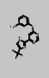 Nc1cccc(Oc2cc(-c3nc(C(F)(F)F)c[nH]3)ncn2)c1